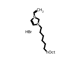 Br.C=CN1C=CN(CCCCCCCCCCCCCC)C1